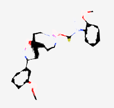 COc1cccc(C2=NOC3(CCN(OC(=S)Nc4ccccc4OC)CC3)C2)c1